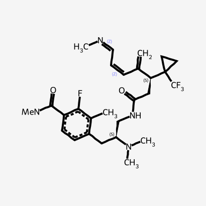 C=C(/C=C\C=N/C)[C@H](CC(=O)NC[C@H](Cc1ccc(C(=O)NC)c(F)c1C)N(C)C)C1(C(F)(F)F)CC1